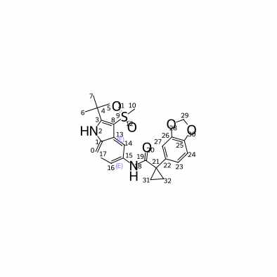 C=c1[nH]c(C(C)(C)C)c(S(C)(=O)=O)/c1=C/C(=C\C)NC(=O)C1(c2ccc3c(c2)OCO3)CC1